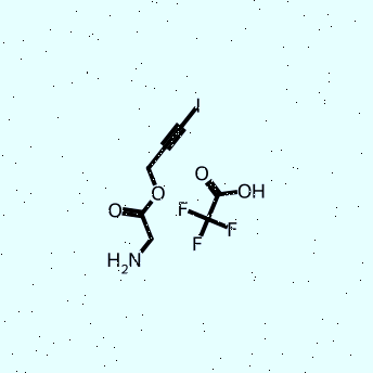 NCC(=O)OCC#CI.O=C(O)C(F)(F)F